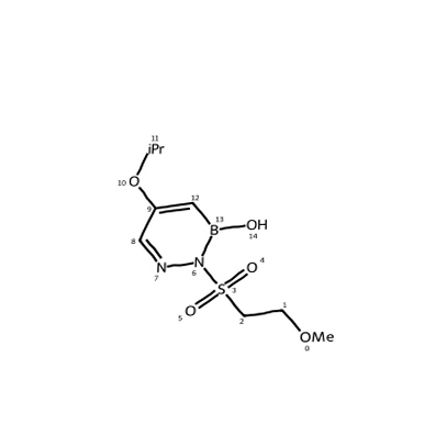 COCCS(=O)(=O)N1N=CC(OC(C)C)=CB1O